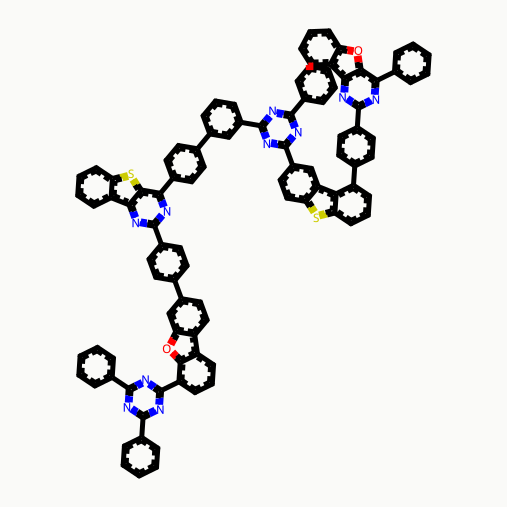 c1ccc(-c2nc(-c3cccc(-c4ccc(-c5nc(-c6ccc(-c7ccc8c(c7)oc7c(-c9nc(-c%10ccccc%10)nc(-c%10ccccc%10)n9)cccc78)cc6)nc6c5sc5ccccc56)cc4)c3)nc(-c3ccc4sc5cccc(-c6ccc(-c7nc(-c8ccccc8)c8oc9ccccc9c8n7)cc6)c5c4c3)n2)cc1